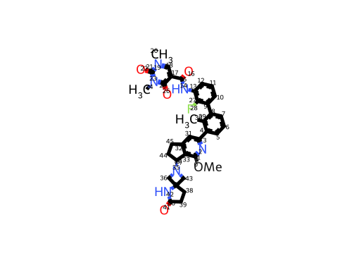 COc1nc(-c2cccc(-c3cccc(NC(=O)c4cn(C)c(=O)n(C)c4=O)c3F)c2C)cc2c1[C@@H](N1CC3(CCC(=O)N3)C1)CC2